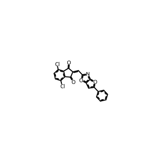 O=C1C(=Cc2nc3oc(-c4ccccc4)cc3o2)C(=O)c2c(Cl)ccc(Cl)c21